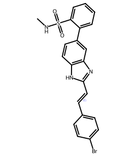 CNS(=O)(=O)c1ccccc1-c1ccc2[nH]c(/C=C/c3ccc(Br)cc3)nc2c1